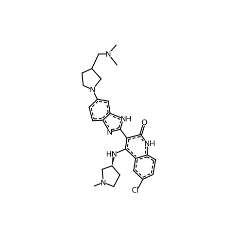 CN(C)CC1CCN(c2ccc3nc(-c4c(N[C@H]5CCN(C)C5)c5cc(Cl)ccc5[nH]c4=O)[nH]c3c2)C1